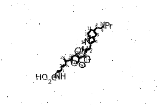 C/C(=C\c1cc2cc(CCC(C)C)ccc2n1C)C(=O)c1c(O)cc(C(C)CC/C=C/NC(=O)O)oc1=O